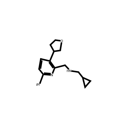 CC(C)c1ccc(C2CCOC2)c(CNCC2CC2)n1